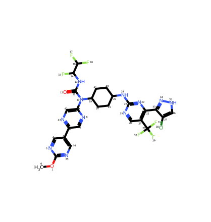 COc1ncc(-c2cnc(N(C(=O)NC(F)C(F)F)C3CCC(Nc4ncc(C(F)(F)F)c(-c5n[nH]cc5Cl)n4)CC3)cn2)cn1